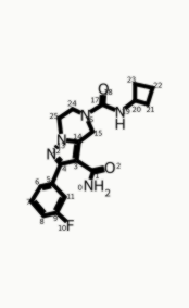 NC(=O)c1c(-c2cccc(F)c2)nn2c1CN(C(=O)NC1CCC1)CC2